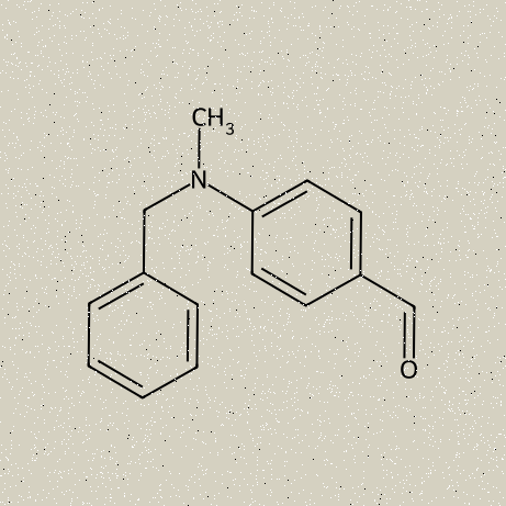 CN(Cc1ccccc1)c1ccc(C=O)cc1